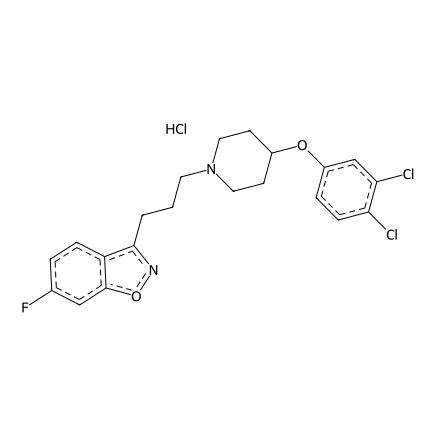 Cl.Fc1ccc2c(CCCN3CCC(Oc4ccc(Cl)c(Cl)c4)CC3)noc2c1